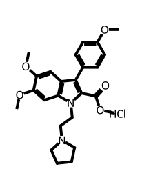 COC(=O)c1c(-c2ccc(OC)cc2)c2cc(OC)c(OC)cc2n1CCN1CCCC1.Cl